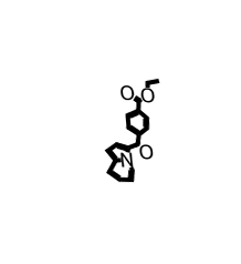 CCOC(=O)c1ccc(C(=O)c2ccc3ccccn23)cc1